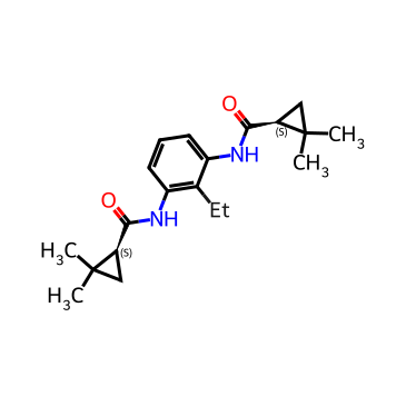 CCc1c(NC(=O)[C@H]2CC2(C)C)cccc1NC(=O)[C@H]1CC1(C)C